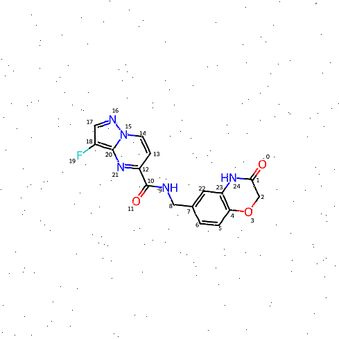 O=C1COc2ccc(CNC(=O)c3ccn4ncc(F)c4n3)cc2N1